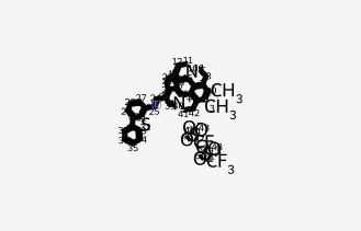 Cc1c(C)c2c(c3c1CC[n+]1ccccc1-3)-c1c3ccccc3c(/C=C/c3cccc4c3sc3ccccc34)c[n+]1CC2.O=S(=O)([O-])C(F)(F)F.O=S(=O)([O-])C(F)(F)F